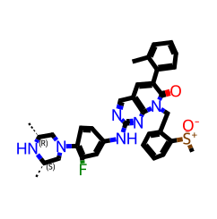 Cc1ccccc1-c1cc2cnc(Nc3ccc(N4C[C@@H](C)N[C@@H](C)C4)c(F)c3)nc2n(Cc2ccccc2[S+](C)[O-])c1=O